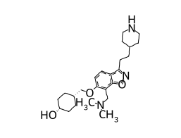 CN(C)Cc1c(OC[C@H]2CC[C@@H](O)CC2)ccc2c(CCC3CCNCC3)noc12